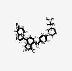 CN(C)C(C)(C)[C@H]1CCCN(c2ccc(Nc3ccc(-c4cnc5cc(F)ccn45)c4c3C(=O)NC4)nc2)C1